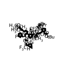 CC(C)OP(=O)(Oc1cccc(CC(=O)OC(C)(C)C)c1C(C)(C)CC(=O)N(c1nn(CC(F)(F)F)c2c(-c3ccc(C#CC(C)(C)S(C)(=O)=O)nc3[C@H](Cc3cc(F)cc(F)c3)NC(=O)Cn3nc(C(F)(F)F)c4c3C(F)(F)C3C[C@H]43)ccc(Cl)c12)S(C)(=O)=O)OC(C)C